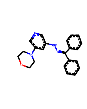 c1ccc(C(=NNc2cncc(N3CCOCC3)c2)c2ccccc2)cc1